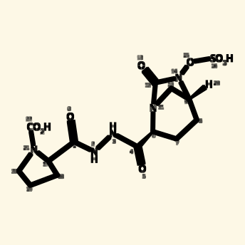 O=C(NNC(=O)[C@@H]1CC[C@@H]2CN1C(=O)N2OS(=O)(=O)O)C1CCCN1C(=O)O